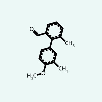 COc1ccc(-c2c(C)cccc2C=O)cc1C